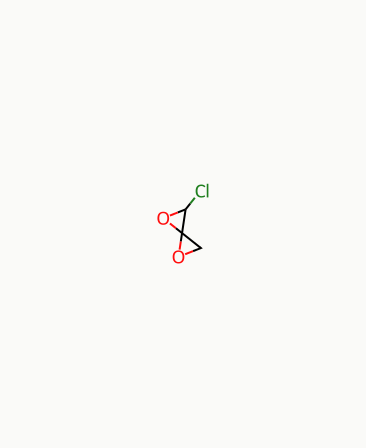 ClC1OC12CO2